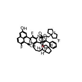 C#Cc1c(F)ccc2cc(O)cc(-c3nc4c5c(nc(OC[C@@]67CCCN6C[C@H](F)C7)nc5c3F)N3C[C@H]5CC[C@@H]([C@H]3CCC4)N5Cc3oc(=O)oc3-c3ccccc3)c12